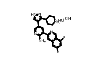 Cl.Cl.Cl.Nc1ncc(-c2c[nH]nc2C2CCNCC2)cc1-c1cc2cc(F)cc(F)c2cn1